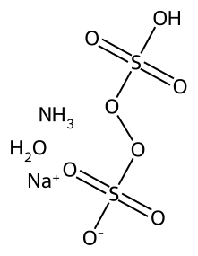 N.O.O=S(=O)([O-])OOS(=O)(=O)O.[Na+]